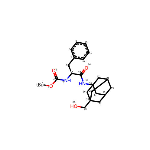 CC(C)(C)OC(=O)N[C@@H](Cc1ccccc1)C(=O)NC12CC3CC(CC(CO)(C3)C1)C2